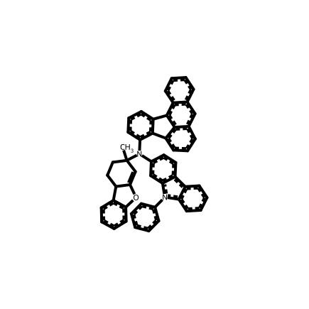 CC1(N(c2ccc3c4ccccc4n(-c4ccccc4)c3c2)c2cccc3c2-c2cccc4cc5ccccc5c-3c24)C=C2Oc3ccccc3C2CC1